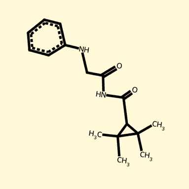 CC1(C)C(C(=O)NC(=O)CNc2ccccc2)C1(C)C